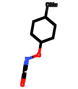 COC1CCC(ON=C=O)CC1